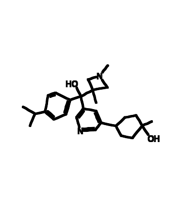 CC(C)c1ccc(C(O)(c2cncc(C3CCC(C)(O)CC3)c2)C2(C)CN(C)C2)cc1